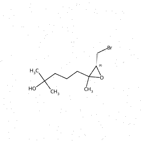 CC(C)(O)CCCC1(C)O[C@H]1CBr